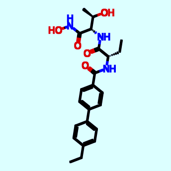 CCc1ccc(-c2ccc(C(=O)N[C@@H](CC)C(=O)N[C@H](C(=O)NO)[C@@H](C)O)cc2)cc1